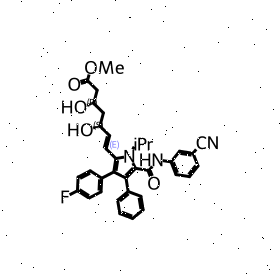 COC(=O)C[C@H](O)C[C@H](O)/C=C/c1c(-c2ccc(F)cc2)c(-c2ccccc2)c(C(=O)Nc2cccc(C#N)c2)n1C(C)C